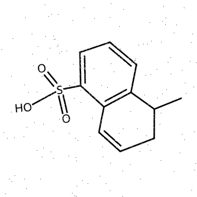 CC1CC=Cc2c1cccc2S(=O)(=O)O